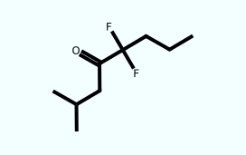 CCCC(F)(F)C(=O)CC(C)C